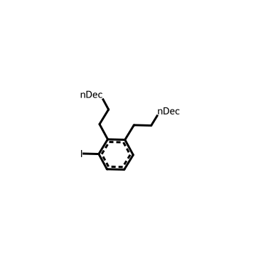 CCCCCCCCCCCCc1cccc(I)c1CCCCCCCCCCCC